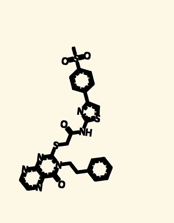 CS(=O)(=O)c1ccc(-c2csc(NC(=O)CSc3nc4nccnc4c(=O)n3CCc3ccccc3)n2)cc1